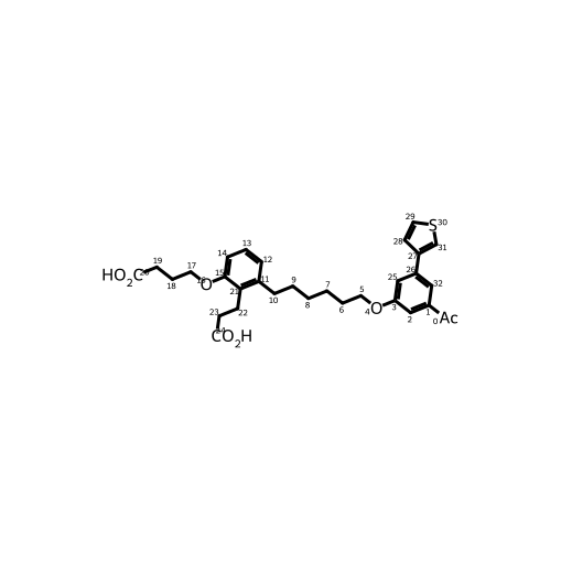 CC(=O)c1cc(OCCCCCCc2cccc(OCCCC(=O)O)c2CCC(=O)O)cc(-c2ccsc2)c1